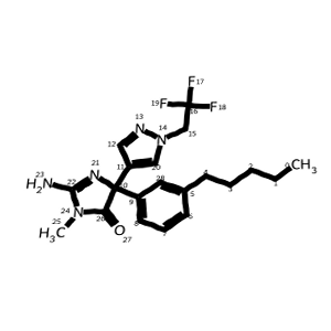 CCCCCc1cccc(C2(c3cnn(CC(F)(F)F)c3)N=C(N)N(C)C2=O)c1